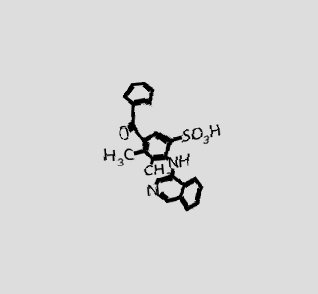 Cc1c(C(=O)c2ccccc2)cc(S(=O)(=O)O)c(Nc2cncc3ccccc23)c1C